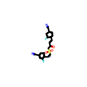 N#Cc1ccc(C=CC(=O)CS(=O)(=O)/C=C\c2ccc(C#N)cc2F)c(F)c1